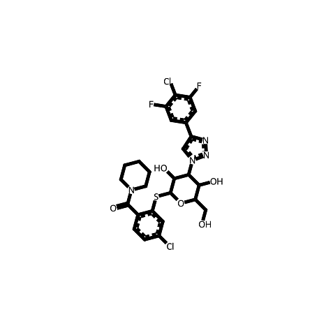 O=C(c1ccc(Cl)cc1SC1OC(CO)C(O)C(n2cc(-c3cc(F)c(Cl)c(F)c3)nn2)C1O)N1CCCCC1